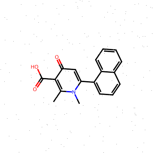 Cc1c(C(=O)O)c(=O)cc(-c2cccc3ccccc23)n1C